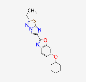 CCc1nn2cc(-c3nc4ccc(OC5CCCCC5)cc4o3)nc2s1